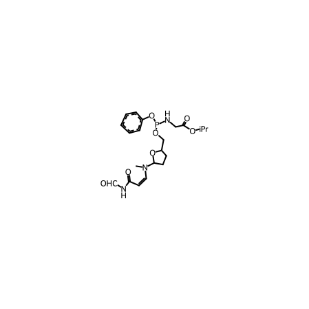 CC(C)OC(=O)CNP(OCC1CCC(N(C)/C=C\C(=O)NC=O)O1)Oc1ccccc1